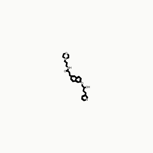 O=C(CCc1ccc2cc(OCC(O)CCc3cccnc3)ccc2c1)NCCCN1CCOCC1